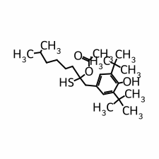 CC(=O)OC(S)(CCCCC(C)C)Cc1cc(C(C)(C)C)c(O)c(C(C)(C)C)c1